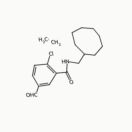 O=Cc1ccc(Cl)c(C(=O)NC[C]2CCCCCCC2)c1.[CH2].[CH2]